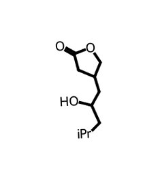 CC(C)CC(O)CC1COC(=O)C1